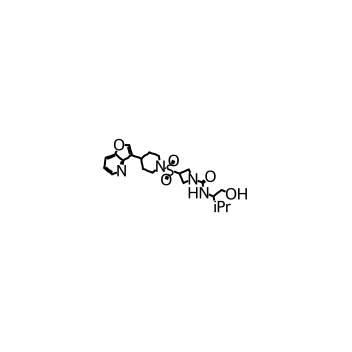 CC(C)C(CO)NC(=O)N1CC(S(=O)(=O)N2CCC(c3coc4cccnc34)CC2)C1